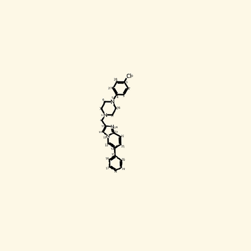 Clc1ccc(N2CCN(Cc3cn4cc(-c5ccccc5)ccc4n3)CC2)cc1